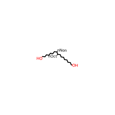 CCCCCCCCCC(CCCCCCCO)C(CCCCCCCC)CCCCCCCCO